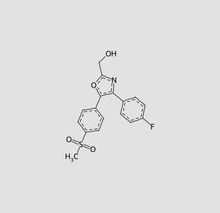 CS(=O)(=O)c1ccc(-c2oc(CO)nc2-c2ccc(F)cc2)cc1